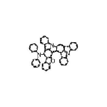 c1ccc(N(c2ccccc2)c2c3c4ccccc4oc3c3c4c5c6ccccc6n6c7ccccc7c(cc4n4c7ccccc7c2c34)c56)cc1